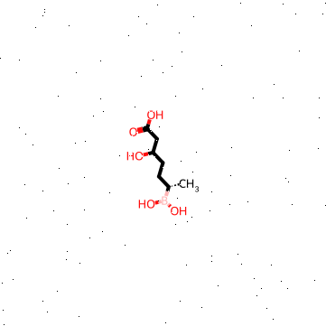 C[C@@H](CCC(O)CC(=O)O)B(O)O